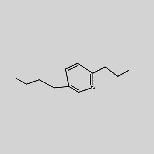 CCCCc1ccc(CCC)nc1